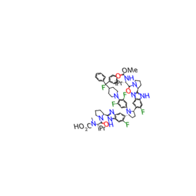 COC(=O)N[C@H](C(=O)N1CCC[C@H]1c1nc2cc([C@H]3CC[C@H](c4cc5nc([C@@H]6CCCN6C(=O)[C@H](C(C)C)N(C)C(=O)O)[nH]c5cc4F)N3c3cc(F)c(N4CCC(C(F)(c5ccccc5)c5ccccc5)CC4)c(F)c3)c(F)cc2[nH]1)C(C)C